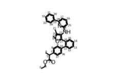 CCOC(=O)C(C)c1ccc(-c2ccccc2-c2onc(C)c2Nc2cccc(-c3ccccc3)n2)cc1